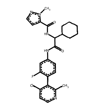 Cc1nccc(Cl)c1-c1ccc(NC(=O)C(NC(=O)c2ccnn2C)C2CCCCC2)cc1F